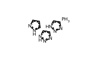 P.c1c[nH]nn1.c1c[nH]nn1.c1cn[nH]c1